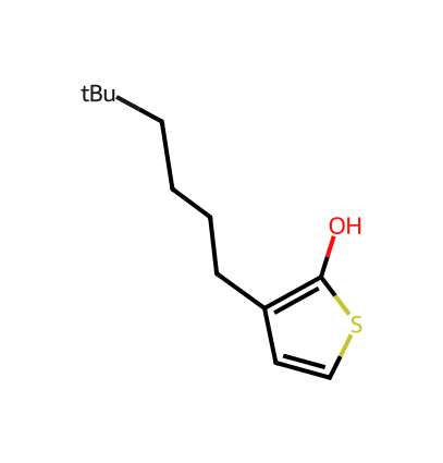 CC(C)(C)CCCCc1ccsc1O